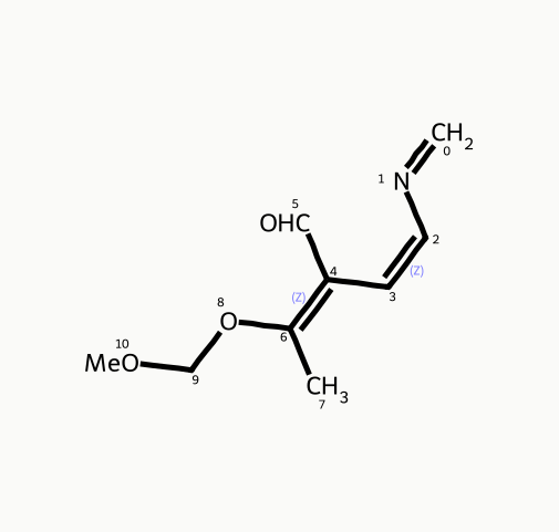 C=N/C=C\C(C=O)=C(/C)OCOC